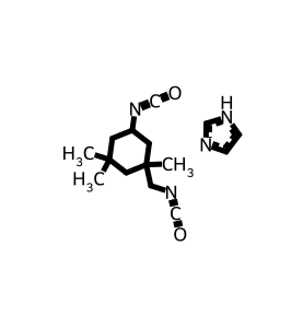 CC1(C)CC(N=C=O)CC(C)(CN=C=O)C1.c1c[nH]cn1